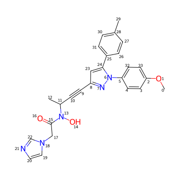 COc1ccc(-n2nc(C#CC(C)N(O)C(=O)Cn3ccnc3)cc2-c2ccc(C)cc2)cc1